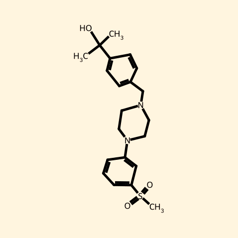 CC(C)(O)c1ccc(CN2CCN(c3cccc(S(C)(=O)=O)c3)CC2)cc1